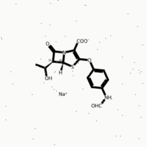 CC(O)[C@H]1C(=O)N2C(C(=O)[O-])=C(Oc3ccc(NC=O)cc3)S[C@H]12.[Na+]